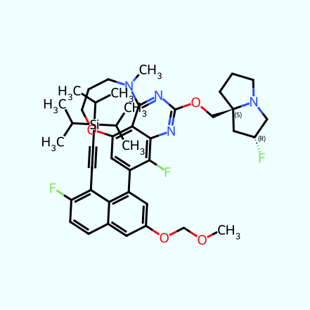 COCOc1cc(-c2cc3c4c(nc(OC[C@@]56CCCN5C[C@H](F)C6)nc4c2F)N(C)CCCO3)c2c(C#C[Si](C(C)C)(C(C)C)C(C)C)c(F)ccc2c1